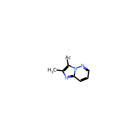 CC(=O)c1c(C)nc2cccnn12